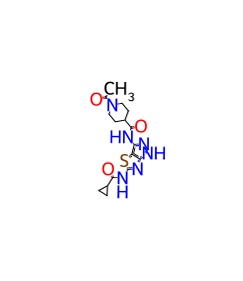 CC(=O)N1CCC(C(=O)Nc2n[nH]c3nc(NC(=O)C4CC4)sc23)CC1